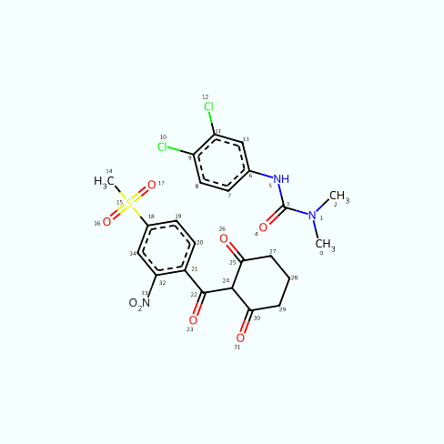 CN(C)C(=O)Nc1ccc(Cl)c(Cl)c1.CS(=O)(=O)c1ccc(C(=O)C2C(=O)CCCC2=O)c([N+](=O)[O-])c1